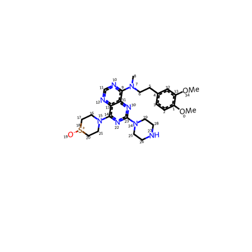 COc1ccc(CCN(C)c2ncnc3c(N4CC[S+]([O-])CC4)nc(N4CCNCC4)nc23)cc1OC